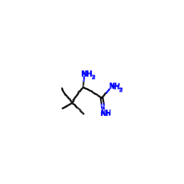 CC(C)(C)C(N)C(=N)N